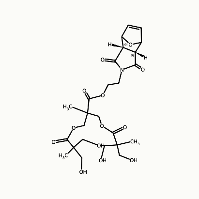 CC(CO)(CO)C(=O)OCC(C)(COC(=O)C(C)(CO)CO)C(=O)OCCN1C(=O)[C@@H]2C3C=CC(O3)[C@@H]2C1=O